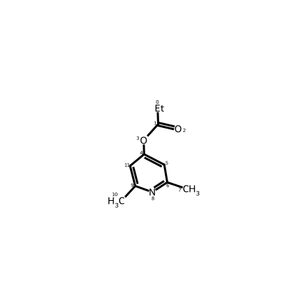 CCC(=O)Oc1cc(C)nc(C)c1